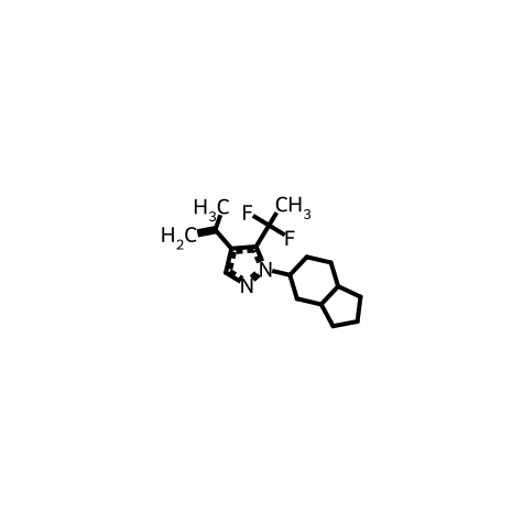 C=C(C)c1cnn(C2CCC3CCCC3C2)c1C(C)(F)F